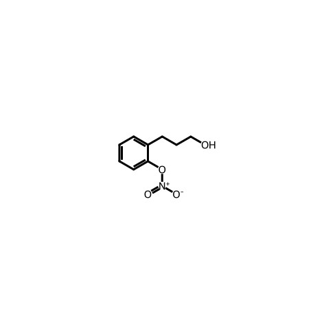 O=[N+]([O-])Oc1ccccc1CCCO